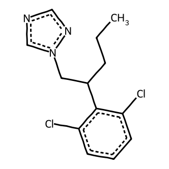 CCCC(Cn1cncn1)c1c(Cl)cccc1Cl